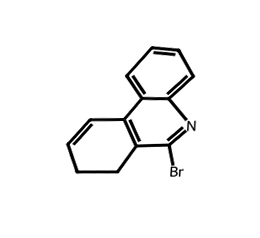 Brc1nc2ccccc2c2c1CCC=C2